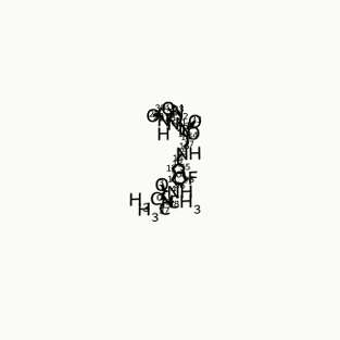 C[C@@H](C(=O)Nc1cc(F)c2c(c1)CC(CNCCC1CN(c3cnc4c(n3)NC(=O)CO4)C(=O)O1)C2)N(C)C